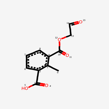 Cc1c(C(=O)O)cccc1C(=O)OCC=O